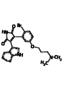 CN(C)CCCOc1ccc(Br)c(C2=C(c3c[nH]c4ccccc34)C(=O)NC2=O)c1